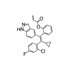 C=CC(=O)Oc1ccccc1/C(=C(/c1ccc(F)cc1Cl)C1CC1)c1ccc2[nH]ncc2c1